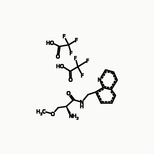 COC[C@H](N)C(=O)NCc1cccc2cccnc12.O=C(O)C(F)(F)F.O=C(O)C(F)(F)F